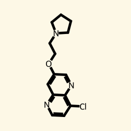 Clc1ccnc2cc(OCCN3CCCC3)cnc12